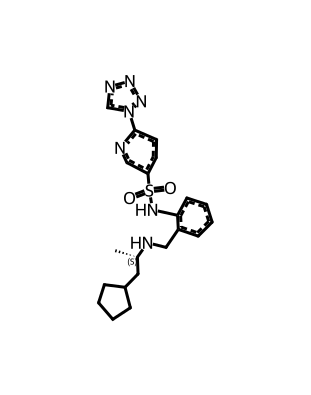 C[C@@H](CC1CCCC1)NCc1ccccc1NS(=O)(=O)c1ccc(-n2cnnn2)nc1